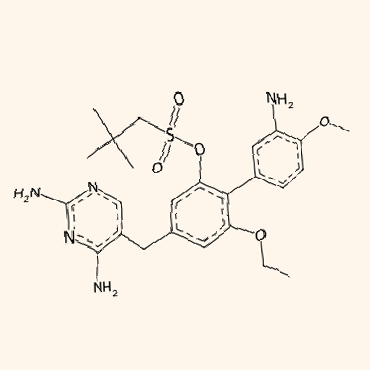 CCOc1cc(Cc2cnc(N)nc2N)cc(OS(=O)(=O)CC(C)(C)C)c1-c1ccc(OC)c(N)c1